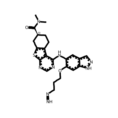 CN(C)C(=O)[C@H]1CCc2c(sc3ncnc(Nc4cc5cn[nH]c5cc4OCCCN=N)c23)C1